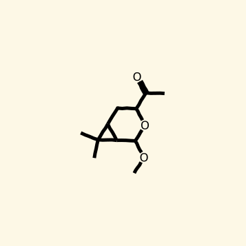 COC1OC(C(C)=O)CC2C1C2(C)C